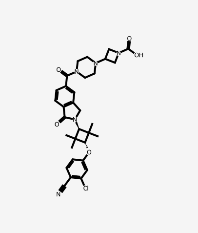 CC1(C)[C@H](Oc2ccc(C#N)c(Cl)c2)C(C)(C)[C@H]1N1Cc2cc(C(=O)N3CCN(C4CN(C(=O)O)C4)CC3)ccc2C1=O